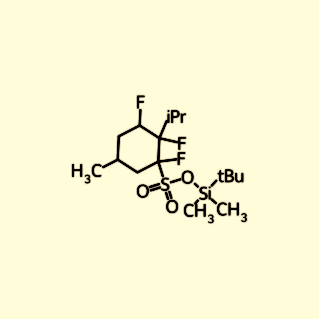 CC1CC(F)C(F)(C(C)C)C(F)(S(=O)(=O)O[Si](C)(C)C(C)(C)C)C1